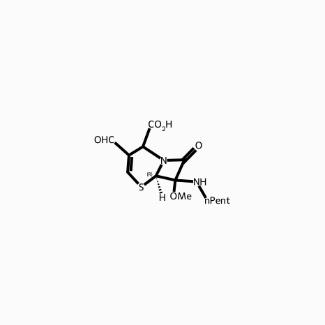 CCCCCNC1(OC)C(=O)N2C(C(=O)O)C(C=O)=CS[C@@H]21